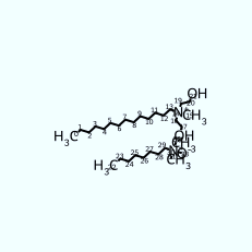 CCCCCCCCCCCCCC[N+](C)(CCO)CCO.CCCCCCCC[N+](C)(C)[O-]